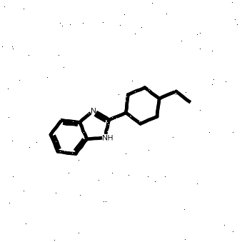 CCC1CCC(c2nc3ccccc3[nH]2)CC1